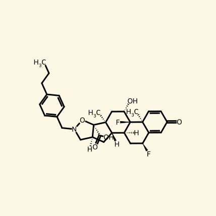 CCCc1ccc(CN2C[C@@H]3C[C@H]4[C@@H]5C[C@H](F)C6=CC(=O)C=C[C@]6(C)[C@@]5(F)[C@@H](O)C[C@]4(C)[C@]3(C(=O)O)O2)cc1